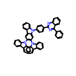 c1ccc(-c2nc(-c3ccc(-n4c5ccccc5c5cc(-n6c7ccccc7c7ccccc76)c(-n6c7ccccc7c7ccccc76)cc54)cc3)nc3ccccc23)cc1